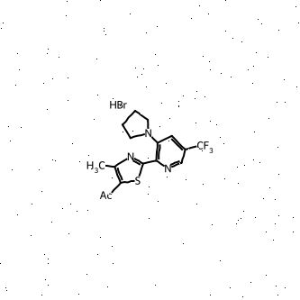 Br.CC(=O)c1sc(-c2ncc(C(F)(F)F)cc2N2CCCC2)nc1C